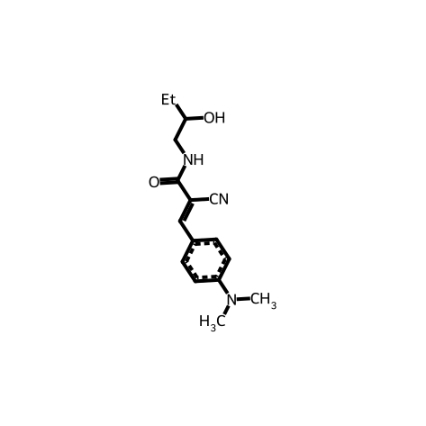 CCC(O)CNC(=O)/C(C#N)=C/c1ccc(N(C)C)cc1